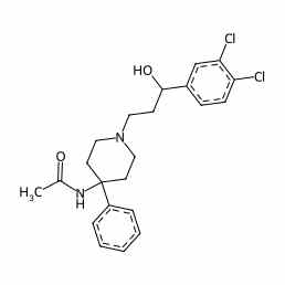 CC(=O)NC1(c2ccccc2)CCN(CCC(O)c2ccc(Cl)c(Cl)c2)CC1